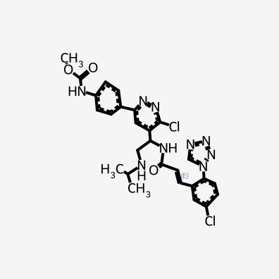 COC(=O)Nc1ccc(-c2cc(C(CNC(C)C)NC(=O)/C=C/c3cc(Cl)ccc3-n3cnnn3)c(Cl)nn2)cc1